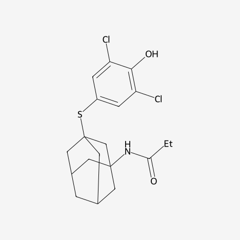 CCC(=O)NC12CC3CC(C1)CC(Sc1cc(Cl)c(O)c(Cl)c1)(C3)C2